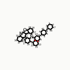 c1ccc(-c2ccc(-c3cccc(N(c4ccccc4-c4ccccc4)c4cccc5oc6nc7ccccc7cc6c45)c3)cc2)cc1